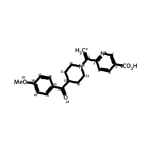 C=C(c1ccc(C(=O)O)cn1)N1CCC(C(=O)c2ccc(OC)cc2)CC1